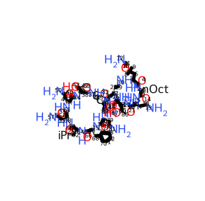 CCCCCCCC[C@H](NC(=O)CCC(C)(C)OCN)C(=O)N[C@@H](CCN)C(=O)N[C@H](C(=O)N[C@@H](CCN)C(=O)N[C@H]1CCNC(=O)[C@H]([C@@H](C)O)NC(=O)[C@H](CCN)NC(=O)[C@H](CCN)NC(=O)[C@H](CC(C)C)NC(=O)[C@@H](Cc2ccccc2)NC(=O)[C@H](CCN)NC1=O)[C@@H](C)O